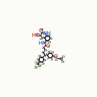 O=C(C=CC=C(c1ccc(OCC2CC2)cc1)c1ccc(C(F)(F)F)cc1)Nc1cccc2c1CC(O)C(=O)N2